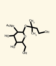 CC(=O)NC1C(OC(C)(C)CCO)OC(CO)C(O)C1O